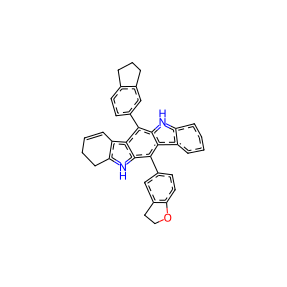 C1=Cc2c([nH]c3c(-c4ccc5c(c4)CCO5)c4c([nH]c5ccccc54)c(-c4ccc5c(c4)CCC5)c23)CC1